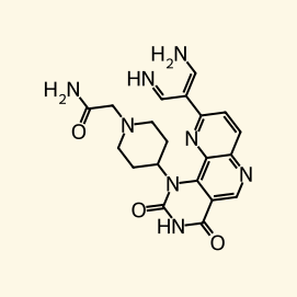 N=C/C(=C\N)c1ccc2ncc3c(=O)[nH]c(=O)n(C4CCN(CC(N)=O)CC4)c3c2n1